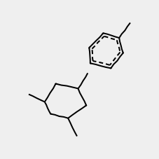 CC1CC(C)CC(C)C1.Cc1ccccc1